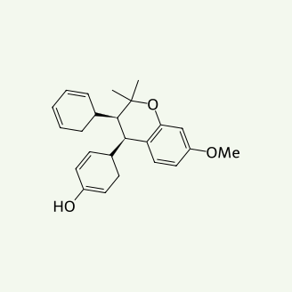 COc1ccc2c(c1)OC(C)(C)[C@H](C1C=CC=CC1)[C@@H]2C1C=CC(O)=CC1